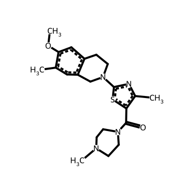 COc1cc2c(cc1C)CN(c1nc(C)c(C(=O)N3CCN(C)CC3)s1)CC2